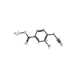 COC(=O)c1ccc(CC#N)c(Br)c1